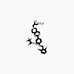 Cc1cc(-c2ncc3c(n2)CCN(CC(C)CC(=O)O)C3)ccc1OCc1c(F)cccc1F.O=C(O)C(F)(F)F